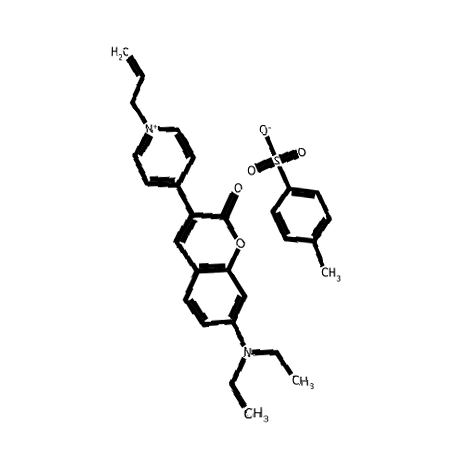 C=CC[n+]1ccc(-c2cc3ccc(N(CC)CC)cc3oc2=O)cc1.Cc1ccc(S(=O)(=O)[O-])cc1